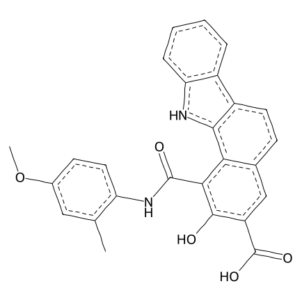 COc1ccc(NC(=O)c2c(O)c(C(=O)O)cc3ccc4c5ccccc5[nH]c4c23)c(C)c1